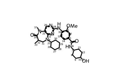 COc1cc(C(=O)NC2CCC(O)CC2)ccc1Nc1ncc2c(n1)N(C1CCCCC1)CC(C)C(=O)N2C